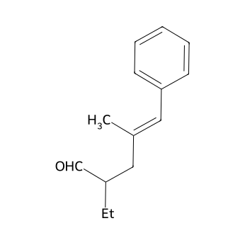 CCC(C=O)C/C(C)=C/c1ccccc1